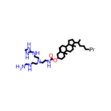 CC(C)CCCC(C)C1CCC2C3CC=C4CC(OC(=O)NCCN(CCNCN)CCNC5NCN5)CCC4(C)C3CCC12C